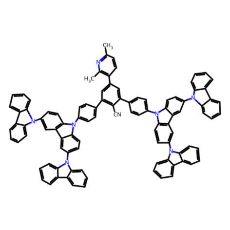 Cc1ccc(-c2cc(-c3ccc(-n4c5ccc(-n6c7ccccc7c7ccccc76)cc5c5cc(-n6c7ccccc7c7ccccc76)ccc54)cc3)c(C#N)c(-c3ccc(-n4c5ccc(-n6c7ccccc7c7ccccc76)cc5c5cc(-n6c7ccccc7c7ccccc76)ccc54)cc3)c2)c(C)n1